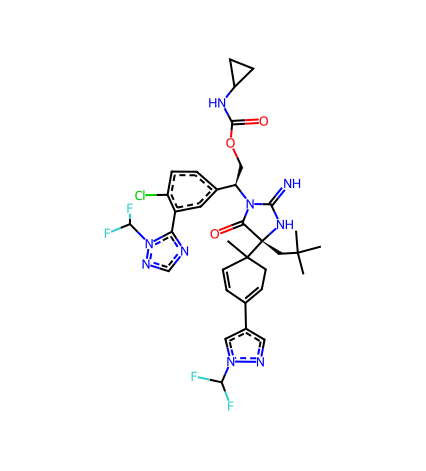 CC(C)(C)C[C@]1(C2(C)C=CC(c3cnn(C(F)F)c3)=CC2)NC(=N)N([C@H](COC(=O)NC2CC2)c2ccc(Cl)c(-c3ncnn3C(F)F)c2)C1=O